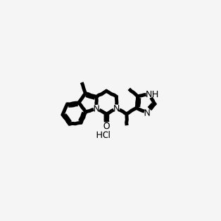 Cc1[nH]cnc1C(C)N1CCc2c(C)c3ccccc3n2C1=O.Cl